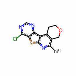 CCCc1nc2sc3c(Cl)ncnc3c2c2c1COCC2